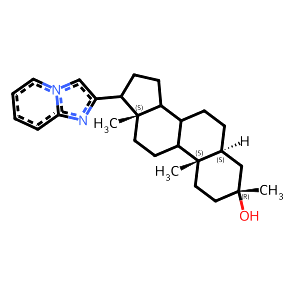 C[C@@]1(O)CC[C@]2(C)C3CC[C@]4(C)C(c5cn6ccccc6n5)CCC4C3CC[C@H]2C1